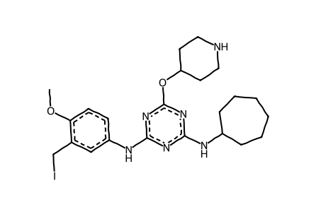 COc1ccc(Nc2nc(NC3CCCCCC3)nc(OC3CCNCC3)n2)cc1CI